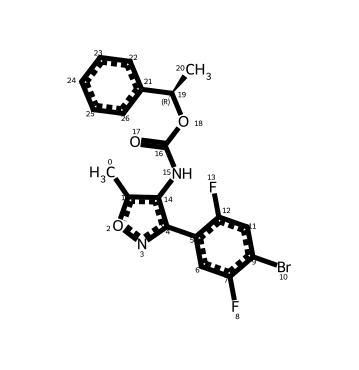 Cc1onc(-c2cc(F)c(Br)cc2F)c1NC(=O)O[C@H](C)c1ccccc1